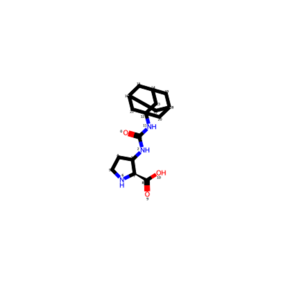 O=C(NC1CCN[C@@H]1C(=O)O)NC12CC3CC(CC(C3)C1)C2